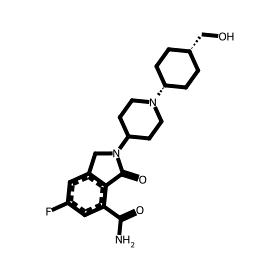 NC(=O)c1cc(F)cc2c1C(=O)N(C1CCN([C@H]3CC[C@@H](CO)CC3)CC1)C2